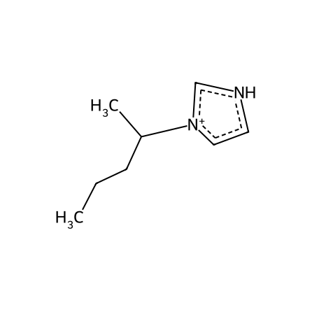 CCCC(C)[n+]1cc[nH]c1